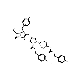 C[C@@H](O)[C@H]1C(=O)N2C(C(=O)O)=C(S[C@H]3C[C@@H](C4OCC(NC(=O)OCc5ccc([N+](=O)[O-])cc5)CO4)N(C(=O)OCc4ccc([N+](=O)[O-])cc4)C3)[C@](C)(Cc3ccc([N+](=O)[O-])cc3)[C@H]12